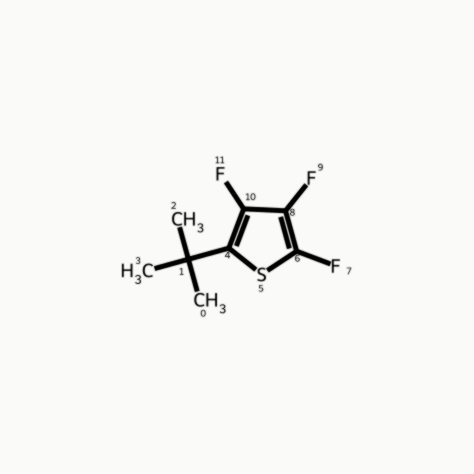 CC(C)(C)c1sc(F)c(F)c1F